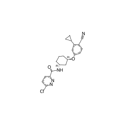 N#Cc1ccc(O[C@@H]2CCC[C@@H](NC(=O)c3ccc(Cl)nn3)C2)cc1C1CC1